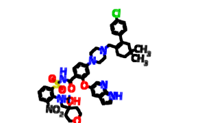 CC1(C)CCC(CN2CCN(c3ccc(C(=O)NS(=O)(=O)c4cccc([N+](=O)[O-])c4NCC4(O)CCOCC4)c(Oc4cnc5[nH]ccc5c4)c3)CC2)=C(c2ccc(Cl)cc2)C1